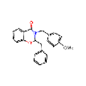 COc1ccc(CN2C(=O)c3ccccc3OC2Cc2ccccc2)cc1